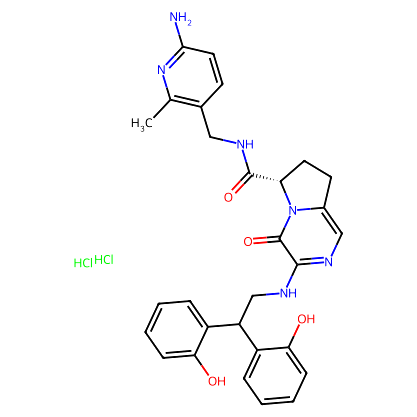 Cc1nc(N)ccc1CNC(=O)[C@@H]1CCc2cnc(NCC(c3ccccc3O)c3ccccc3O)c(=O)n21.Cl.Cl